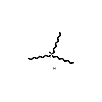 CCCCCCCC[PH](C)(CCCCCCCC)CCCCCCCC.I